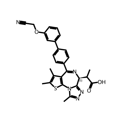 Cc1sc2c(c1C)C(c1ccc(-c3cccc(OCC#N)c3)cc1)=N[C@@H](C(C)C(=O)O)c1nnc(C)n1-2